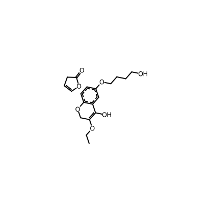 CCOC1=C(O)c2cc(OCCCCO)ccc2OC1.O=C1CC=CO1